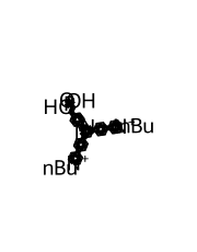 CCCC[n+]1ccc(-c2ccc(-c3cc(-c4ccc(-c5cc[n+](CCCC)cc5)cc4)nc(-c4ccc(CCP(=O)(O)O)cc4)n3)cc2)cc1